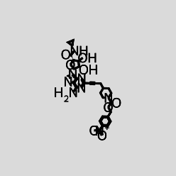 Nc1nc(C#CCC2CCN(C(=O)OCc3ccc([N+](=O)[O-])cc3)CC2)nc2c1ncn2[C@@H]1O[C@H](C(=O)NC2CC2)C(O)C1O